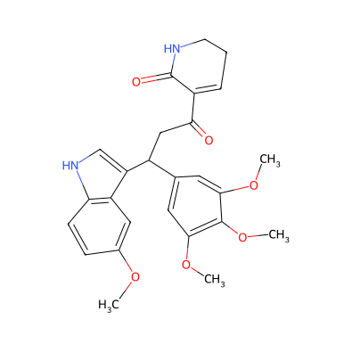 COc1ccc2[nH]cc(C(CC(=O)C3=CCCNC3=O)c3cc(OC)c(OC)c(OC)c3)c2c1